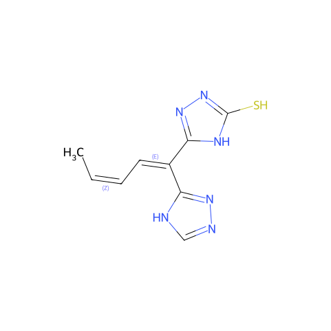 C/C=C\C=C(/c1nnc[nH]1)c1nnc(S)[nH]1